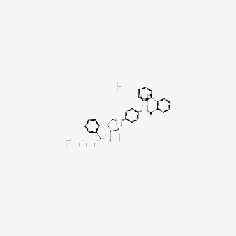 CCOC(=O)C(NC1CCN(c2ccc(NC(=O)c3ccccc3-c3ccc(C(F)(F)F)cc3)cc2)C1)c1ccccc1